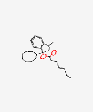 CCCCCCC(=O)OC1(C2CCCCCCC2)CC(C)c2ccccc21